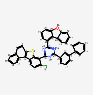 Clc1ccc2c(sc3ccc4ccccc4c32)c1-c1nc(-c2cccc(-c3ccccc3)c2)nc(-c2cccc3oc4ccccc4c23)n1